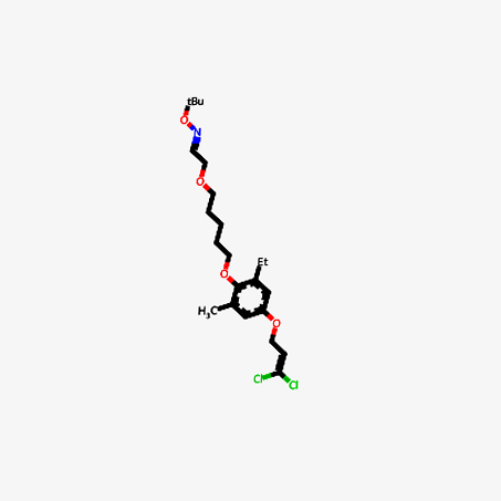 CCc1cc(OCC=C(Cl)Cl)cc(C)c1OCCCCCOCC=NOC(C)(C)C